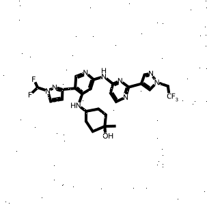 CC1(O)CCC(Nc2cc(Nc3ccnc(-c4cnn(CC(F)(F)F)c4)n3)ncc2-c2ccn(C(F)F)n2)CC1